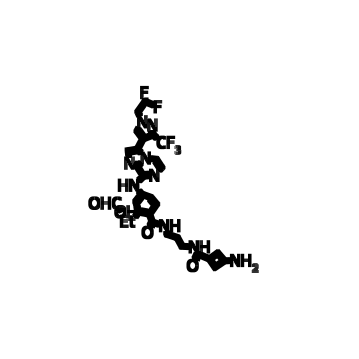 CCc1cc(Nc2nccn3c(-c4cn(CC(F)F)nc4C(F)(F)F)cnc23)ccc1C(=O)NCCCNC(=O)C1CC(N)C1.O=CO